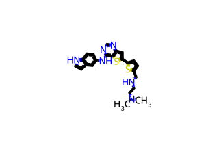 CN(C)CCNCc1ccc(-c2cc3ncnc(Nc4ccc5[nH]ccc5c4)c3s2)s1